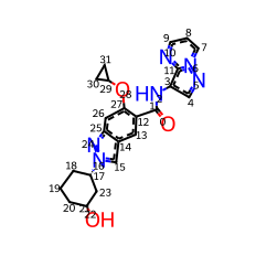 O=C(Nc1cnn2cccnc12)c1cc2cn([C@H]3CCC[C@H](O)C3)nc2cc1OC1CC1